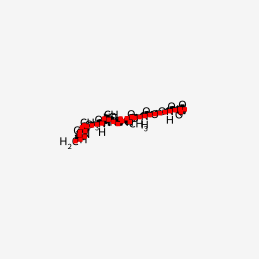 C=C1C[C@H]2C=Nc3cc(OCCCC(=O)Nc4cn(C)c(C(=O)Nc5ccc(-c6cc(C(=O)OCCCNC(=O)CCOCCOCCNC(=O)CCN7C(=O)C=CC7=O)n(C)c6)cc5)n4)c(C)cc3C(=O)N2C1